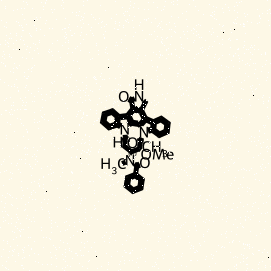 COC1[C@H](N(C)C(=O)c2ccccc2)C[C@H]2O[C@]1(C)n1c3ccccc3c3c4c(c5c6ccccc6n2c5c31)C(=O)NC4